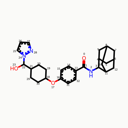 O=C(NC1C2CC3CC(C2)CC1C3)c1ccc(OC2CCC(C(O)n3cccn3)CC2)cc1